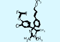 C=C1N(C)C(N)=NC1(c1cccc(/C=C/COC)c1)c1ccc(OC(F)F)c(Cl)c1